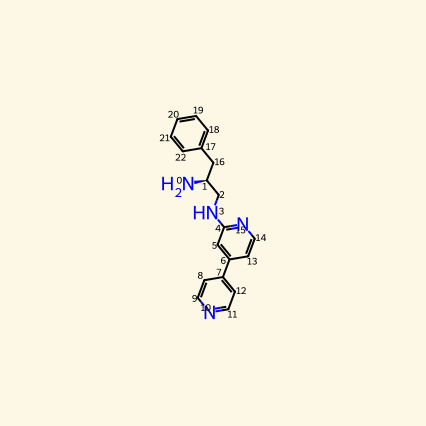 N[C@H](CNc1cc(-c2ccncc2)ccn1)Cc1ccccc1